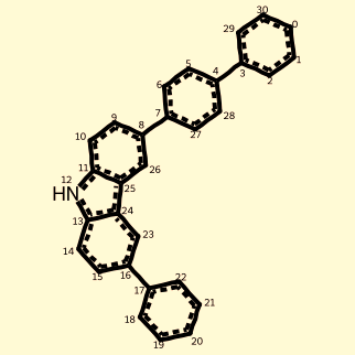 c1ccc(-c2ccc(-c3ccc4[nH]c5ccc(-c6ccccc6)cc5c4c3)cc2)cc1